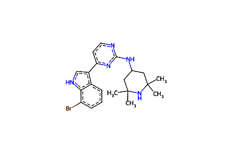 CC1(C)CC(Nc2nccc(-c3c[nH]c4c(Br)cccc34)n2)CC(C)(C)N1